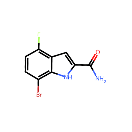 NC(=O)c1cc2c(F)ccc(Br)c2[nH]1